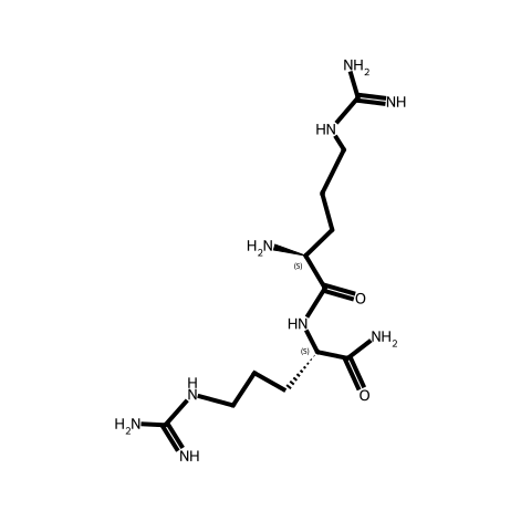 N=C(N)NCCC[C@H](NC(=O)[C@@H](N)CCCNC(=N)N)C(N)=O